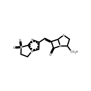 O=C(O)C1CSC2C(=Cc3cn4c(n3)S(=O)(=O)CC4)C(=O)N12